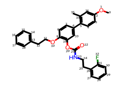 COc1ccc(-c2ccc(OCCc3ccccc3)c(OC(=O)NCCc3ccccc3F)c2)c(C)c1